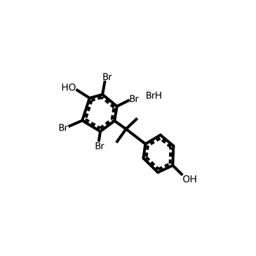 Br.CC(C)(c1ccc(O)cc1)c1c(Br)c(Br)c(O)c(Br)c1Br